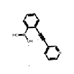 OB(O)c1ccccc1C#Cc1cccnc1